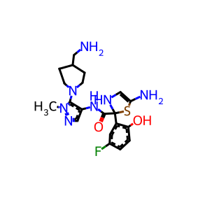 Cn1ncc(NC(=O)C2(c3cc(F)ccc3O)NC=C(N)S2)c1N1CCC(CN)CC1